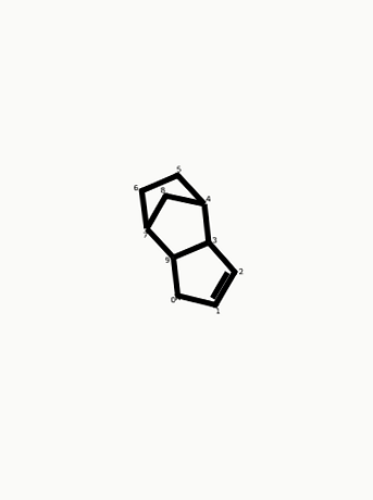 [C]1C=CC2C3CCC(C3)C12